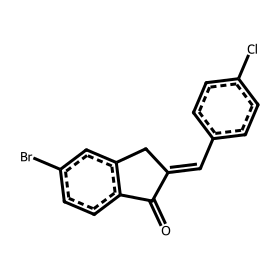 O=C1/C(=C/c2ccc(Cl)cc2)Cc2cc(Br)ccc21